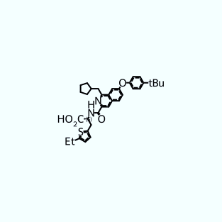 CCc1ccc(C[C@H](NC(=O)c2cc3ccc(Oc4ccc(C(C)(C)C)cc4)cc3c(CC3CCCC3)n2)C(=O)O)s1